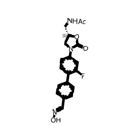 CC(=O)NC[C@H]1CN(c2ccc(-c3ccc(C=NO)cc3)c(F)c2)C(=O)O1